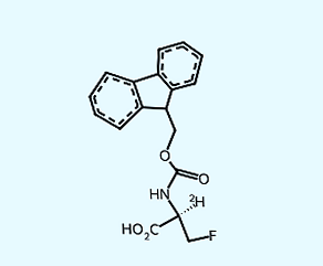 [2H][C@@](CF)(NC(=O)OCC1c2ccccc2-c2ccccc21)C(=O)O